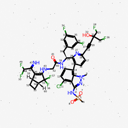 Cn1nc(NS(C)(=O)=O)c2c(Cl)ccc(-c3ccc(C#CC(O)(CF)CF)nc3[C@H](Cc3cc(F)cc(F)c3)NC(=O)CNC3=C(C(=N)C(F)F)[C@H]4CC[C@H]4C3(F)F)c21